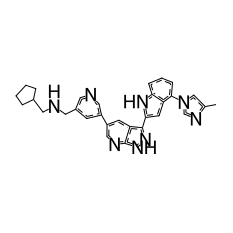 Cc1cn(-c2cccc3[nH]c(-c4n[nH]c5ncc(-c6cncc(CNCC7CCCC7)c6)cc45)cc23)cn1